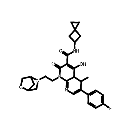 CC1C(c2ccc(F)cc2)=CN=C2C1C(O)=C(C(=O)NC1CC3(CC3)C1)C(=O)N2CCN1CC2CC1CO2